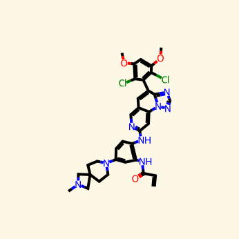 C=CC(=O)Nc1cc(N2CCC3(CC2)CN(C)C3)ccc1Nc1cc2c(cn1)cc(-c1c(Cl)c(OC)cc(OC)c1Cl)c1ncnn12